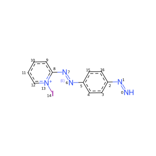 N=Nc1ccc(/N=N/c2cccc[n+]2I)cc1